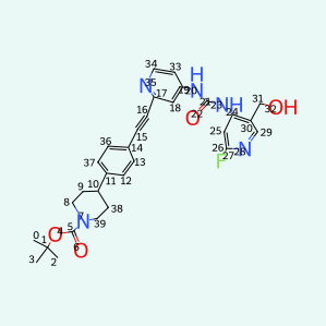 CC(C)(C)OC(=O)N1CCC(c2ccc(C#Cc3cc(NC(=O)Nc4cc(F)ncc4CO)ccn3)cc2)CC1